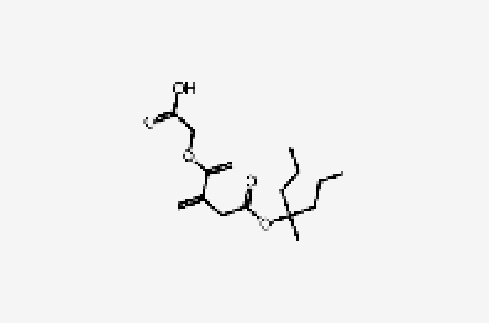 C=C(CC(=O)OC(C)(CCC)CCC)C(=C)OCC(=O)O